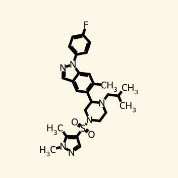 Cc1cc2c(cnn2-c2ccc(F)cc2)cc1C1CN(S(=O)(=O)c2cnn(C)c2C)CCN1CC(C)C